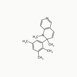 Cc1cc(C)c(C)c(C2(C)C=Cc3cnccc3N2C)c1